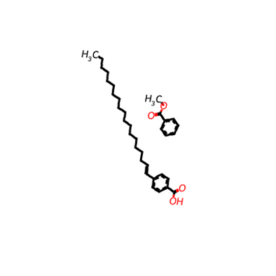 CCCCCCCCCCCCCCCCCC=Cc1ccc(C(=O)O)cc1.COC(=O)c1ccccc1